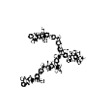 CCOc1cc(N2CCC(C(=O)NCc3ccc(-n4c(O)nnc4-c4cc(CCC(c5ccc(N(C(=N)c6cc(C(C)C)c(O)cc6O)C(N)=O)cc5C(F)(F)F)N5CCN(C6CCN(C(=O)C7CCN(c8ccc(Nc9ncc%10c(n9)N(C)c9ccccc9C(=O)N%10C)c(OCC)c8)CC7)CC6)CC5)c(O)cc4O)cc3F)CC2)ccc1Nc1ncc2c(n1)N(C)c1ccccc1C(=O)N2C